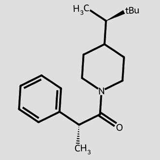 C[C@H](C1CCN(C(=O)[C@H](C)c2ccccc2)CC1)C(C)(C)C